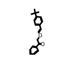 CC(C)(C)c1ccc(C=COCC(=O)c2ccccc2)cc1